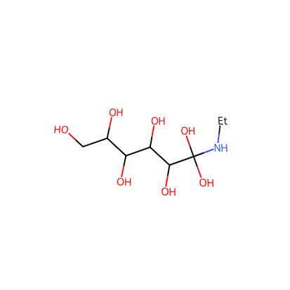 CCNC(O)(O)C(O)C(O)C(O)C(O)CO